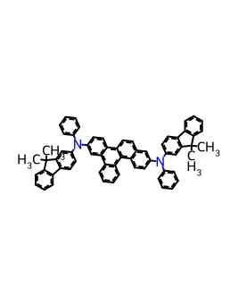 CC1(C)c2ccccc2-c2ccc(N(c3ccccc3)c3ccc4c(ccc5c6ccc(N(c7ccccc7)c7ccc8c(c7)C(C)(C)c7ccccc7-8)cc6c6ccccc6c45)c3)cc21